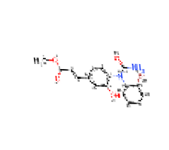 COC(=O)/C=C/c1ccc(N(C(N)=O)c2ccccc2Br)c(O)c1